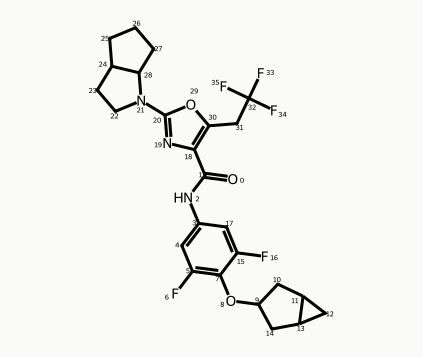 O=C(Nc1cc(F)c(OC2CC3CC3C2)c(F)c1)c1nc(N2CCC3CCCC32)oc1CC(F)(F)F